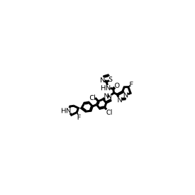 O=C(Nc1nccs1)C(c1ncn2c1C[C@@H](F)C2)n1cc2c(Cl)cc(-c3ccc([C@H]4CCNC[C@@H]4F)cc3)c(Cl)c2n1